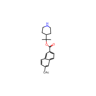 CC(=O)Oc1ccc2cc(C(=O)OC(C)(C)C3CCNCC3)ccc2c1